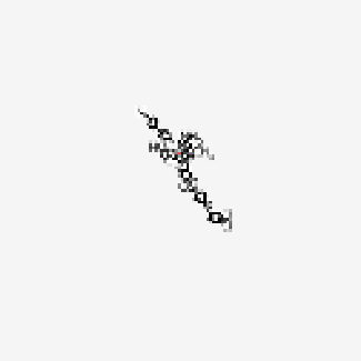 Cc1sc(N)nc1S(=O)(=O)N1Cc2cc3c(cc2C[C@H]1C(=O)N[C@@H](Cc1ccc(-c2ccc(C#N)cc2)cc1)C(=O)O)OCC(c1ccc(OCc2ccc(Cl)c(Cl)c2)cc1)O3